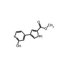 COC(=O)c1cc(-c2ccnc(O)c2)c[nH]1